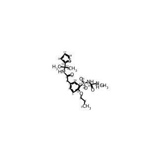 CCCOc1ccc(CC(=O)NC(C)(C)c2cccs2)cc1S(=O)(=O)NC(=O)NC